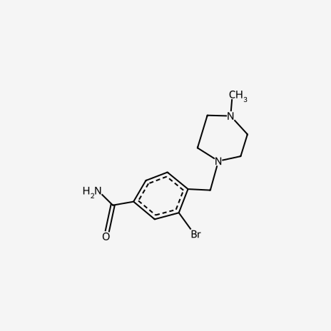 CN1CCN(Cc2ccc(C(N)=O)cc2Br)CC1